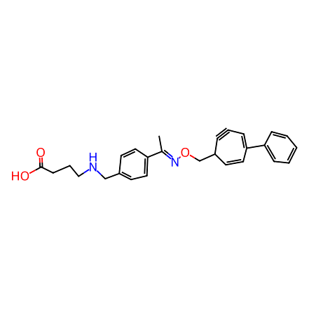 C/C(=N\OCC1C#CC=C(c2ccccc2)C=C1)c1ccc(CNCCCC(=O)O)cc1